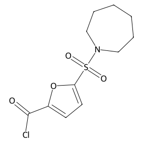 O=C(Cl)c1ccc(S(=O)(=O)N2CCCCCC2)o1